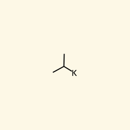 C[CH](C)[K]